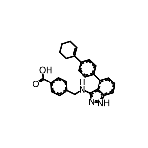 O=C(O)c1ccc(CNc2n[nH]c3cccc(-c4ccc(C5=CCCCC5)cc4)c23)cc1